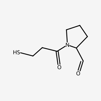 O=CC1CCCN1C(=O)CCS